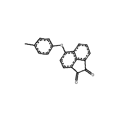 Cc1ccc(Oc2ccc3c4c(cccc24)C(=O)C3=O)cc1